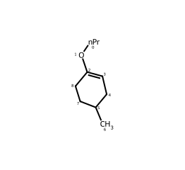 CCCOC1=CCC(C)CC1